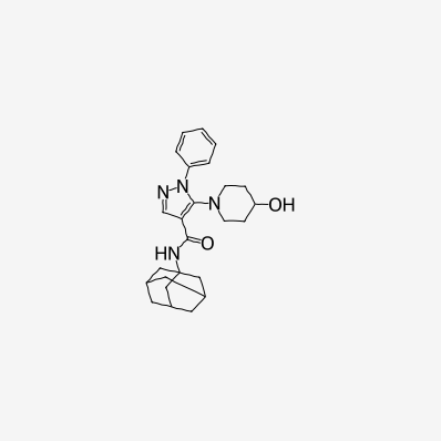 O=C(NC12CC3CC(CC(C3)C1)C2)c1cnn(-c2ccccc2)c1N1CCC(O)CC1